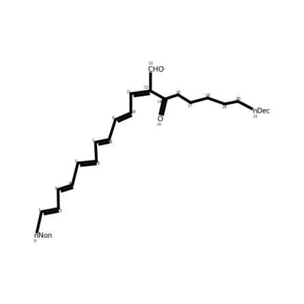 CCCCCCCCCC=CC=CC=CC=CC=CC=C([C]=O)C(=O)CCCCCCCCCCCCCCC